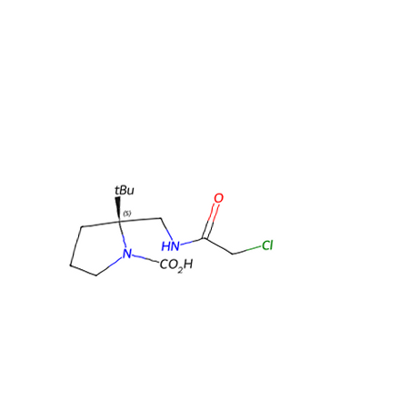 CC(C)(C)[C@]1(CNC(=O)CCl)CCCN1C(=O)O